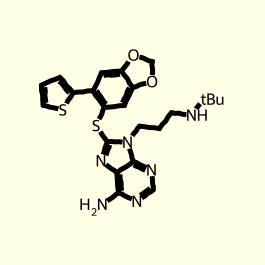 CC(C)(C)NCCCn1c(Sc2cc3c(cc2-c2cccs2)OCO3)nc2c(N)ncnc21